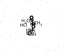 CCn1c(-c2nc3cc(C(=O)NC4CNCCOC4)ccc3n2C)cc2ccccc21.Cl